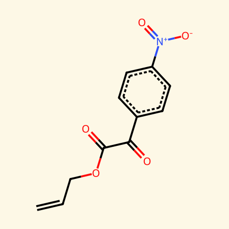 C=CCOC(=O)C(=O)c1ccc([N+](=O)[O-])cc1